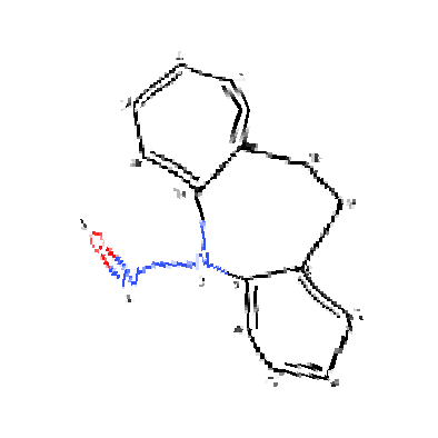 O=NN1c2ccccc2CCc2ccccc21